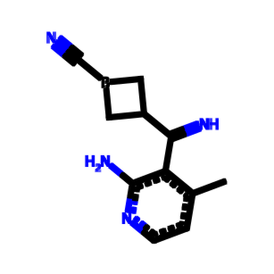 Cc1ccnc(N)c1C(=N)C1CB(C#N)C1